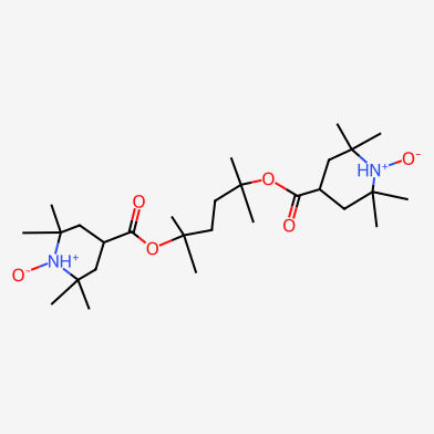 CC(C)(CCC(C)(C)OC(=O)C1CC(C)(C)[NH+]([O-])C(C)(C)C1)OC(=O)C1CC(C)(C)[NH+]([O-])C(C)(C)C1